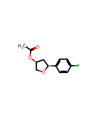 CC(=O)O[C@@H]1CO[C@H](c2ccc(F)cc2)C1